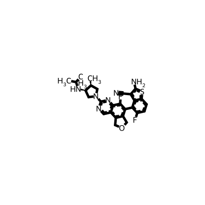 CC(C)N[C@@H]1CN(c2ncc3c4c(c(-c5c(F)ccc6sc(N)c(C#N)c56)c(F)c3n2)COC4)C[C@@H]1C